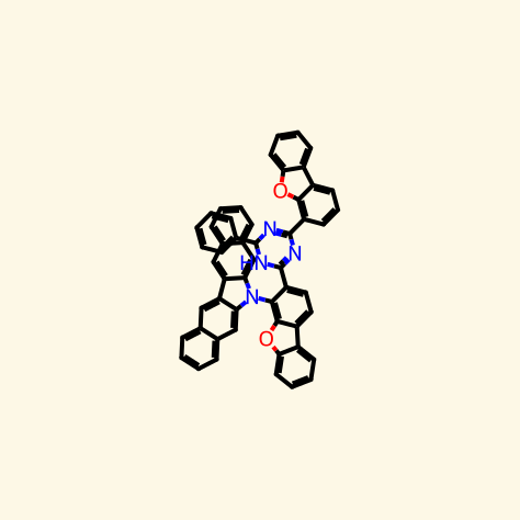 c1ccc(C2N=C(c3cccc4c3oc3ccccc34)N=C(c3ccc4c(oc5ccccc54)c3-n3c4cc5ccccc5cc4c4cc5ccccc5cc43)N2)cc1